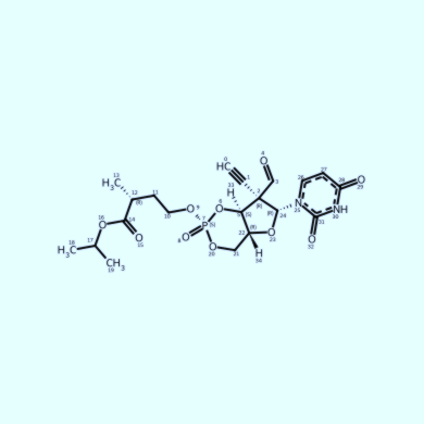 C#C[C@@]1(C=O)[C@@H]2O[P@@](=O)(OCC[C@@H](C)C(=O)OC(C)C)OC[C@H]2O[C@H]1n1ccc(=O)[nH]c1=O